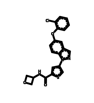 O=C(NC1COC1)c1cc(-n2ncc3cc(Oc4ccccc4Cl)ccc32)cs1